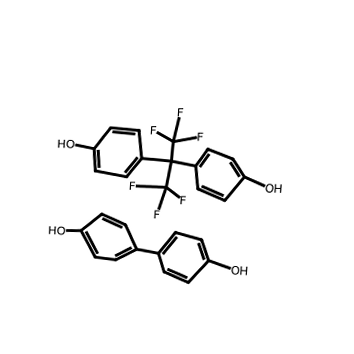 Oc1ccc(-c2ccc(O)cc2)cc1.Oc1ccc(C(c2ccc(O)cc2)(C(F)(F)F)C(F)(F)F)cc1